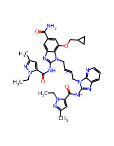 CCn1nc(C)cc1C(=O)Nc1nc2cccnc2n1C/C=C/Cn1c(NC(=O)c2cc(C)nn2CC)nc2cc(C(N)=O)cc(OCC3CC3)c21